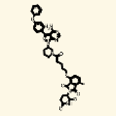 Nc1ncnc2c1c(-c1ccc(Oc3ccccc3)cc1)nn2C1CCCN(C(=O)CCCCSc2ccc(F)c3c2C(=O)N(C2CCC(=O)NC2=O)C3=O)C1